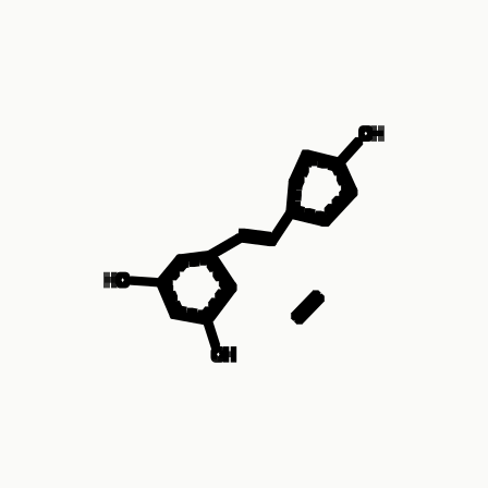 C=C.Oc1ccc(/C=C/c2cc(O)cc(O)c2)cc1